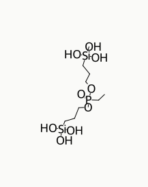 CCP(=O)(OCCC[Si](O)(O)O)OCCC[Si](O)(O)O